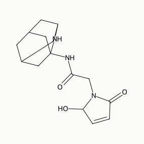 O=C(CN1C(=O)C=CC1O)NC12CC3CC(CC(C3)N1)C2